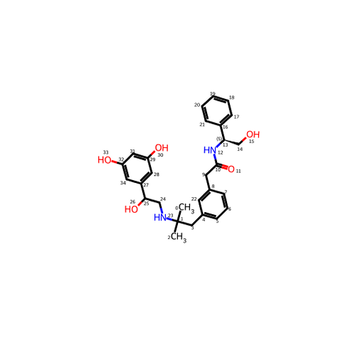 CC(C)(Cc1cccc(CC(=O)N[C@H](CO)c2ccccc2)c1)NCC(O)c1cc(O)cc(O)c1